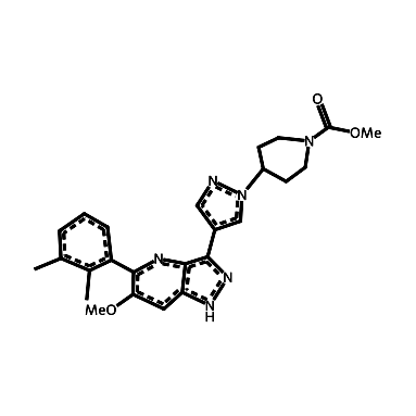 COC(=O)N1CCC(n2cc(-c3n[nH]c4cc(OC)c(-c5cccc(C)c5C)nc34)cn2)CC1